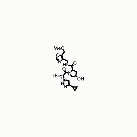 COCc1ocnc1CNC(=O)C1CC(O)CN1C(=O)[C@@H](n1cc(C2CC2)nn1)C(C)(C)C